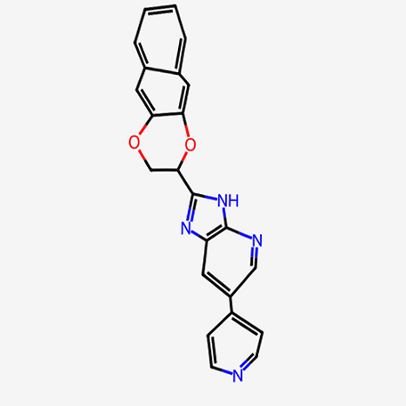 c1ccc2cc3c(cc2c1)OCC(c1nc2cc(-c4ccncc4)cnc2[nH]1)O3